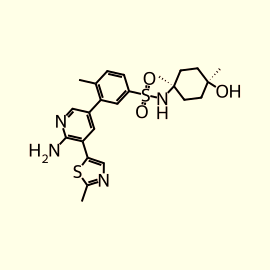 Cc1ncc(-c2cc(-c3cc(S(=O)(=O)N[C@]4(C)CC[C@](C)(O)CC4)ccc3C)cnc2N)s1